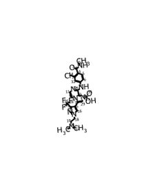 CNC(=O)c1ccc(Nc2nccn3c(-c4cn(CCN(C)C)nc4C(F)(F)F)cnc23)cc1Cl.O=CO